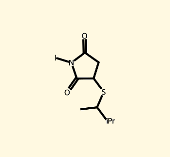 CC(C)C(C)SC1CC(=O)N(I)C1=O